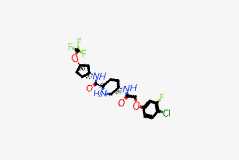 O=C(COc1ccc(Cl)c(F)c1)N[C@H]1CC[C@H](C(=O)N[C@@H]2CC[C@@H](OC(F)(F)F)C2)NC1